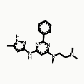 Cc1cc(Nc2cc(N(C)CCN(C)C)nc(-c3ccccc3)n2)n[nH]1